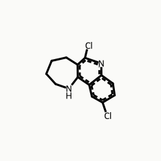 Clc1ccc2nc(Cl)c3c(c2c1)NCCCC3